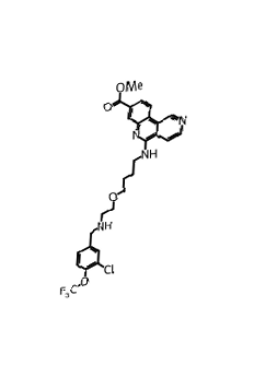 COC(=O)c1ccc2c(c1)nc(NCCCCOCCNCc1ccc(OC(F)(F)F)c(Cl)c1)c1ccncc12